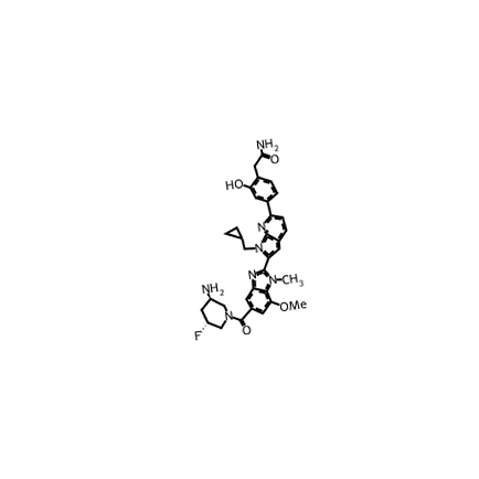 COc1cc(C(=O)N2C[C@H](N)C[C@@H](F)C2)cc2nc(-c3cc4ccc(-c5ccc(CC(N)=O)c(O)c5)nc4n3CC3CC3)n(C)c12